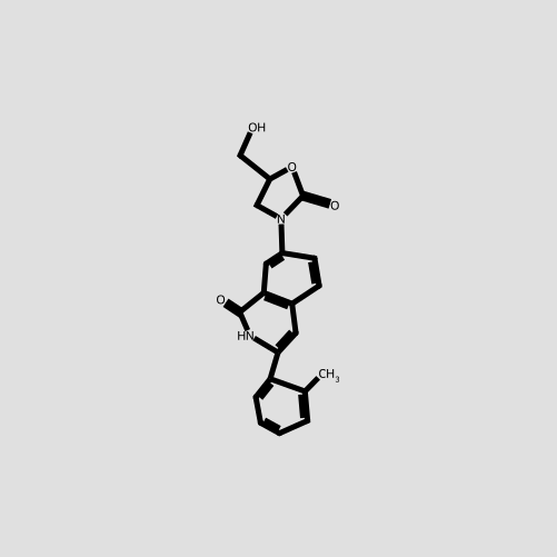 Cc1ccccc1-c1cc2ccc(N3CC(CO)OC3=O)cc2c(=O)[nH]1